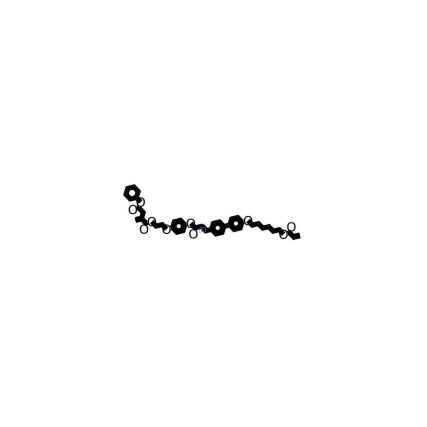 C=CC(=O)OCCCCCCOc1ccc(-c2ccc(/C=C/C(=O)Oc3ccc(OCCOC(=O)C(=C)CC(=O)OC4CCCCC4)cc3)cc2)cc1